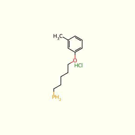 Cc1cccc(OCCCCCP)c1.Cl